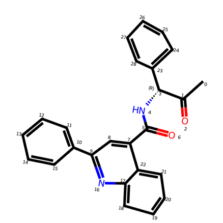 CC(=O)[C@H](NC(=O)c1cc(-c2ccccc2)nc2ccccc12)c1ccccc1